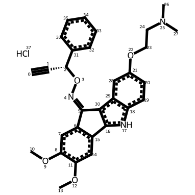 C#C[C@@H](ON=C1c2cc(OC)c(OC)cc2-c2[nH]c3ccc(OCCN(C)C)cc3c21)c1ccccc1.Cl